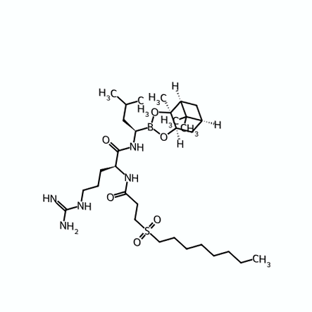 CCCCCCCCS(=O)(=O)CCC(=O)N[C@@H](CCCNC(=N)N)C(=O)N[C@@H](CC(C)C)B1O[C@@H]2C[C@@H]3C[C@@H](C3(C)C)[C@]2(C)O1